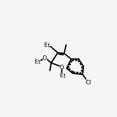 CCOC(C)(OCC)C(CC)=C(C)c1ccc(Cl)cc1